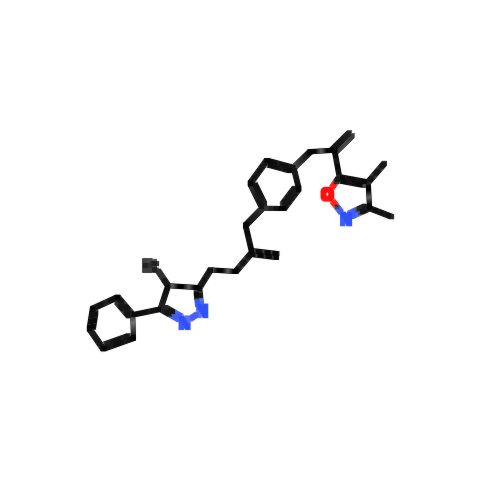 C=C(CCC1=NN=C(c2ccccc2)C1CC)Cc1ccc(CC(=C)c2onc(C)c2C)cc1